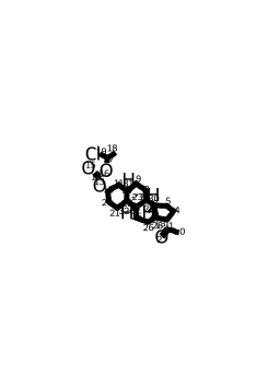 CC(=O)[C@H]1CC[C@H]2[C@@H]3CC[C@H]4C[C@@H](OC(=O)OC(C)Cl)CC[C@]4(C)[C@H]3CC[C@]12C